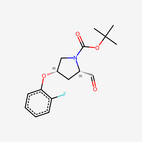 CC(C)(C)OC(=O)N1C[C@@H](Oc2ccccc2F)C[C@H]1C=O